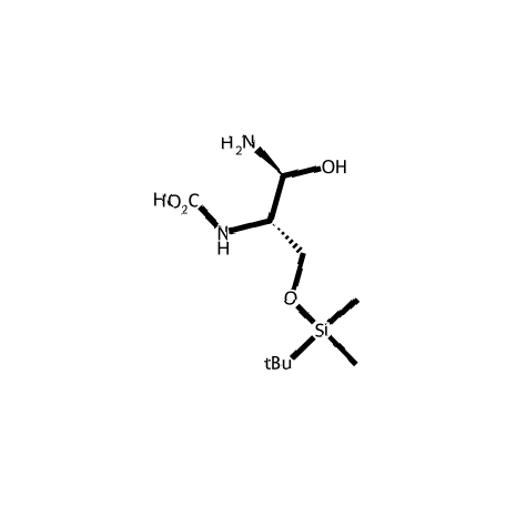 CC(C)(C)[Si](C)(C)OC[C@H](NC(=O)O)[C@@H](N)O